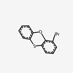 CC(C)c1cccc2c1Oc1ccccc1S2